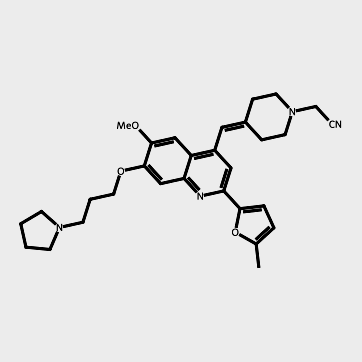 COc1cc2c(C=C3CCN(CC#N)CC3)cc(-c3ccc(C)o3)nc2cc1OCCCN1CCCC1